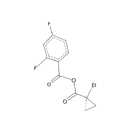 CCC1(C(=O)OC(=O)c2ccc(F)cc2F)CC1